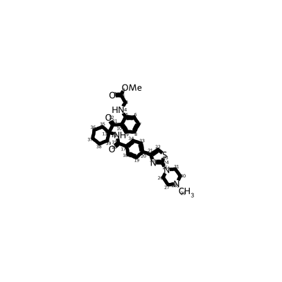 COC(=O)CNc1ccccc1C(=O)C1(NC(=O)c2ccc(-c3csc(N4CCN(C)CC4)n3)cc2)CCCCC1